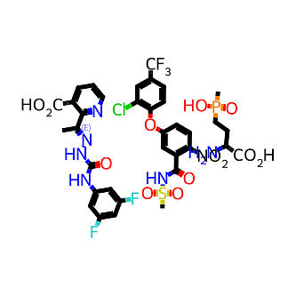 C/C(=N\NC(=O)Nc1cc(F)cc(F)c1)c1ncccc1C(=O)O.CP(=O)(O)CCC(N)C(=O)O.CS(=O)(=O)NC(=O)c1cc(Oc2ccc(C(F)(F)F)cc2Cl)ccc1[N+](=O)[O-]